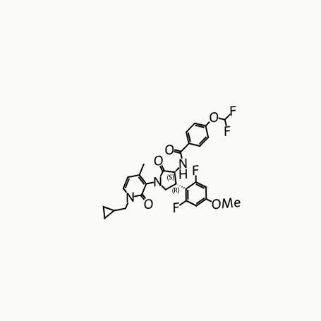 COc1cc(F)c([C@@H]2CN(c3c(C)ccn(CC4CC4)c3=O)C(=O)[C@H]2NC(=O)c2ccc(OC(F)F)cc2)c(F)c1